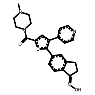 CN1CCN(C(=O)c2cc(-c3ccncc3)c(-c3ccc4c(c3)CCC4=NO)o2)CC1